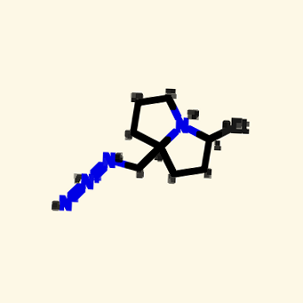 CCC1CCC2(CN=[N+]=[N-])CCCN12